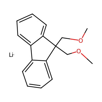 COCC1(COC)c2ccccc2-c2ccccc21.[Li]